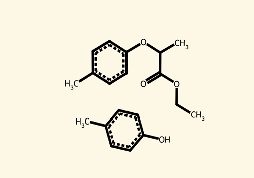 CCOC(=O)C(C)Oc1ccc(C)cc1.Cc1ccc(O)cc1